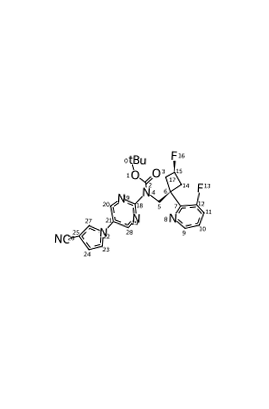 CC(C)(C)OC(=O)N(C[C@]1(c2ncccc2F)C[C@H](F)C1)c1ncc(-n2ccc(C#N)c2)cn1